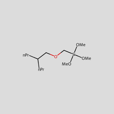 CCCC(CCC)COC[Si](OC)(OC)OC